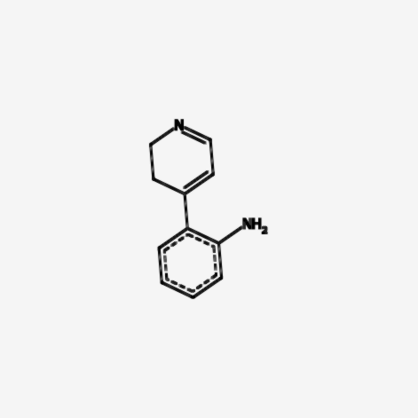 Nc1ccccc1C1=CC=NCC1